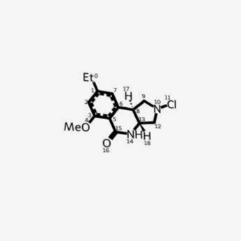 CCc1cc(OC)c2c(c1)[C@H]1CN(Cl)C[C@@H]1NC2=O